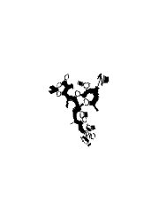 COC1C(N(C)C)C[C@@H](C)O[C@H]1O[C@H]([C@@H](C)C1=C(C)C(=O)OC(C)(C)O1)[C@@](C)(C[C@@H](C)C(=O)CP(=O)(OC)OC)OC